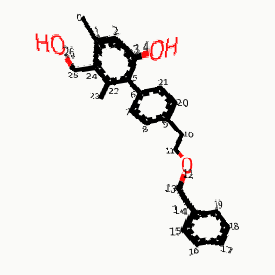 Cc1cc(O)c(-c2ccc(CCOCc3ccccc3)cc2)c(C)c1CO